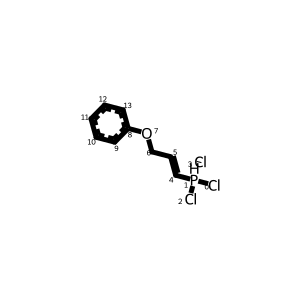 Cl[PH](Cl)(Cl)C=CCOc1ccccc1